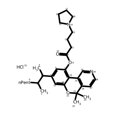 CCCCCC(C)C(C)c1cc(OC(=O)CCCN2CCCC2)c2c(c1)OC(C)(C)c1ccncc1-2.Cl